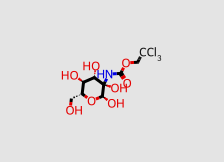 O=C(N[C@]1(O)[C@@H](O)O[C@H](CO)[C@@H](O)[C@@H]1O)OCC(Cl)(Cl)Cl